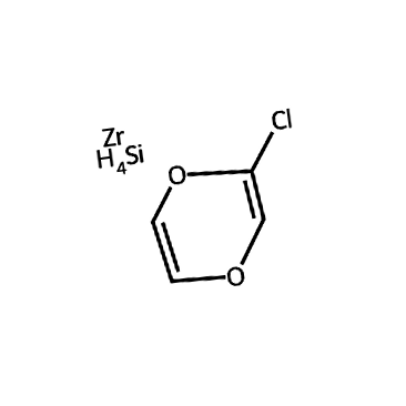 ClC1=COC=CO1.[SiH4].[Zr]